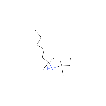 CCCCCC(C)(C)NC(C)(C)CC